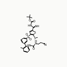 CSc1sc(C(=N)NC(=O)OC(C)(C)C)cc1S(=O)(=O)c1cccc(-c2c(C)cccc2NC(=O)NCCC#N)c1